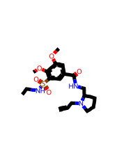 C=CCN1CCCC1CNC(=O)c1cc(OC)c(OC)c(S(=O)(=O)NCC)c1